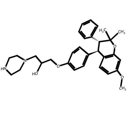 COc1ccc2c(c1)OC(C)(C)[C@@H](c1ccccc1)[C@@H]2c1ccc(OCC(O)CN2CCNCC2)cc1